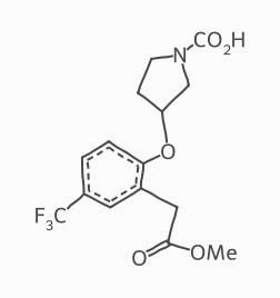 COC(=O)Cc1cc(C(F)(F)F)ccc1OC1CCN(C(=O)O)C1